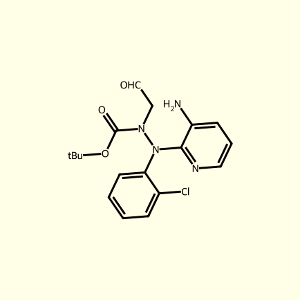 CC(C)(C)OC(=O)N(CC=O)N(c1ccccc1Cl)c1ncccc1N